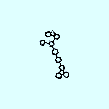 c1ccc(-c2nc(-c3ccc(-c4ccc(-c5ccc6c(c5)-c5ccccc5C65CCCCC5)cc4)cc3)nc(-c3cccc4oc5ccccc5c34)n2)cc1